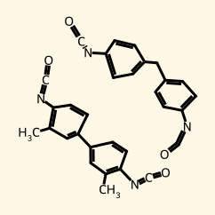 Cc1cc(-c2ccc(N=C=O)c(C)c2)ccc1N=C=O.O=C=Nc1ccc(Cc2ccc(N=C=O)cc2)cc1